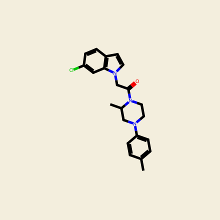 Cc1ccc(N2CCN(C(=O)Cn3ccc4ccc(Cl)cc43)C(C)C2)cc1